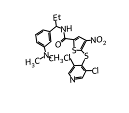 CCC(NC(=O)c1cc([N+](=O)[O-])c(Sc2c(Cl)cncc2Cl)s1)c1cccc(N(C)C)c1